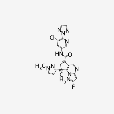 Cn1ccc([C@@]2(C)C[C@H](C(=O)Nc3cnc(-n4nccn4)c(Cl)c3)c3cnc4cc(F)nn4c32)n1